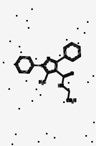 Cc1c(C(=O)NCC(=O)O)c(-c2ccccc2)nn1-c1ccccc1